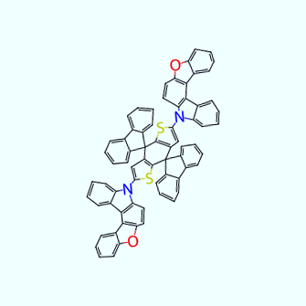 c1ccc2c(c1)-c1ccccc1C21c2cc(-n3c4ccccc4c4c5c(ccc43)oc3ccccc35)sc2C2(c3ccccc3-c3ccccc32)c2cc(-n3c4ccccc4c4c5c(ccc43)oc3ccccc35)sc21